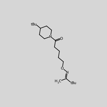 C/C(=N\OCCCCC(=O)N1CCC(C(C)(C)C)CC1)C(C)(C)C